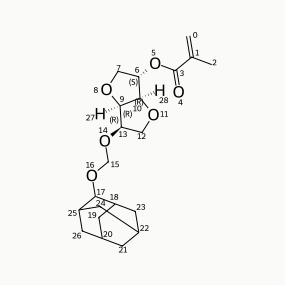 C=C(C)C(=O)O[C@H]1CO[C@H]2[C@@H]1OC[C@H]2OCOC1C2CC3CC(C2)CC1C3